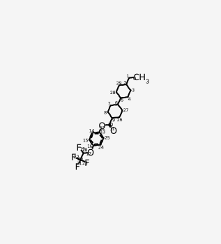 CCC1CCC(C2CCC(C(=O)Oc3ccc(OC(F)C(F)(F)F)cc3)CC2)CC1